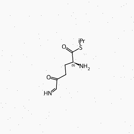 CC(C)SC(=O)[C@@H](N)CCC(=O)C=N